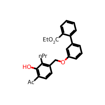 CCCc1c(COc2cccc(-c3ccccc3C(=O)OCC)c2)ccc(C(C)=O)c1O